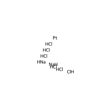 Cl.Cl.Cl.Cl.Cl.Cl.[NaH].[NaH].[Pt]